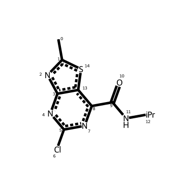 Cc1nc2nc(Cl)nc(C(=O)NC(C)C)c2s1